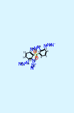 [N-]=[N+]=Nc1cccc(S(=O)(=O)c2cccc(N=[N+]=[N-])c2N=[N+]=[N-])c1N=[N+]=[N-]